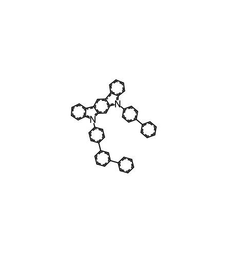 c1ccc(-c2ccc(-n3c4ccccc4c4cc5c6ccccc6n(-c6ccc(-c7cccc(-c8ccccc8)c7)cc6)c5cc43)cc2)cc1